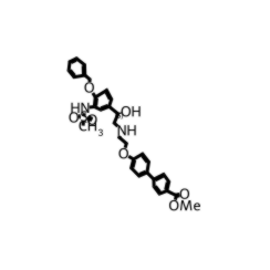 COC(=O)c1ccc(-c2ccc(OCCNC[C@@H](O)c3ccc(OCc4ccccc4)c(NS(C)(=O)=O)c3)cc2)cc1